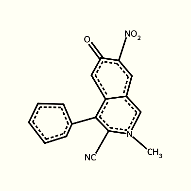 Cn1cc2cc([N+](=O)[O-])c(=O)cc-2c(-c2ccccc2)c1C#N